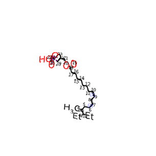 CCC(CC)[C@H](C)C/C=C\C/C=C\CCCCCCCC(=O)OCC1COP(=O)(O)C1